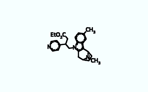 CCOC(=O)CC(Cn1c2c(c3cc(C)ccc31)C1CCC(C2)N1C)c1ccncc1